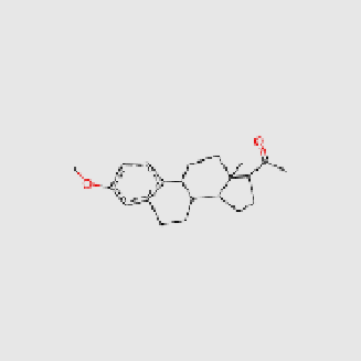 COc1ccc2c(c1)CCC1C2CCC2(C)C(C(C)=O)CCC12